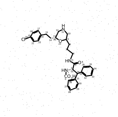 O=C(O)N[C@H](C(=O)NCCCC1CNC[C@@H](CCc2ccc(Cl)cc2)O1)C(c1ccccc1)c1ccccc1